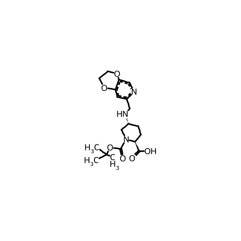 CC(C)(C)OC(=O)N1C[C@H](NCc2cc3c(cn2)OCCO3)CC[C@H]1C(=O)O